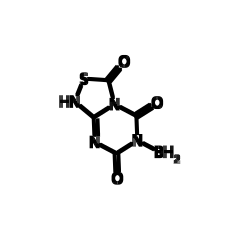 Bn1c(=O)nc2[nH]sc(=O)n2c1=O